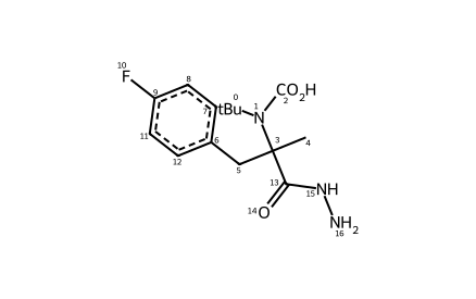 CC(C)(C)N(C(=O)O)C(C)(Cc1ccc(F)cc1)C(=O)NN